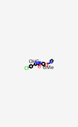 COc1cc(N(CC=O)C(=O)c2cc(-c3ccc(Cl)cc3)c[nH]2)ccc1OCCN1CCCC1